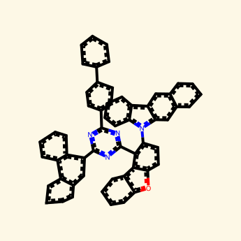 c1ccc(-c2ccc(-c3nc(-c4cc5ccccc5c5ccccc45)nc(-c4c(-n5c6ccccc6c6cc7ccccc7cc65)ccc5oc6ccccc6c45)n3)cc2)cc1